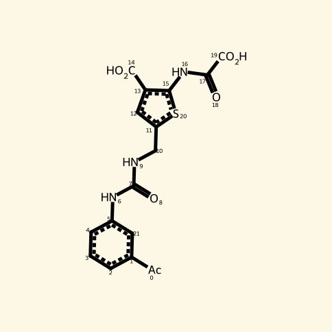 CC(=O)c1cccc(NC(=O)NCc2cc(C(=O)O)c(NC(=O)C(=O)O)s2)c1